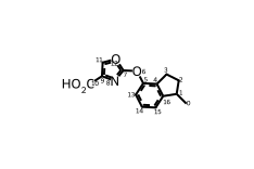 CC1CCc2c(Oc3nc(C(=O)O)co3)cccc21